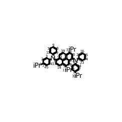 CC(C)c1ccc(N(c2ccccc2)c2ccc3c(C(C)C)cc4c(N(c5ccccc5)c5ccc(C(C)C)cc5)cc(C(C)C)c5ccc2c3c54)cc1